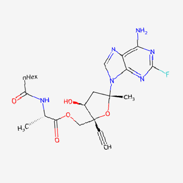 C#C[C@]1(COC(=O)[C@H](C)NC(=O)CCCCCC)O[C@@](C)(n2cnc3c(N)nc(F)nc32)C[C@@H]1O